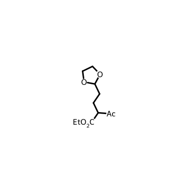 CCOC(=O)C(CCC1OCCO1)C(C)=O